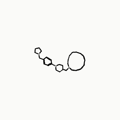 c1cc(N2CCC(CN3CCCCCCCCCCCC3)CC2)ccc1CN1CCCC1